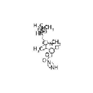 C=Nc1cc(CCNS(=O)(=O)N(C)C)sc1/C(=C\C)c1cc(Cl)cc2c1OC(C(=O)N1CCNCC1)C2